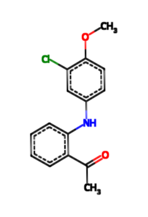 COc1ccc(Nc2ccccc2C(C)=O)cc1Cl